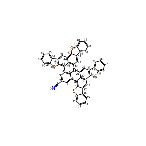 N#Cc1cc2c3c(c1)-c1c4sc5ccccc5c4cc4c1c(cc1c5ccccc5sc41)B3c1cc3c4ccccc4sc3c3cc4c(sc5ccccc54)c-2c13